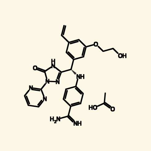 C=Cc1cc(OCCO)cc([C@H](Nc2ccc(C(=N)N)cc2)c2nn(-c3ncccn3)c(=O)[nH]2)c1.CC(=O)O